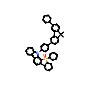 CC1(C)c2ccc(-c3ccccc3)cc2-c2cc(-c3ccc(-n4c5ccccc5c5ccc6c(c54)P(=O)(c4ccccc4)c4ccccc4-6)cc3)ccc21